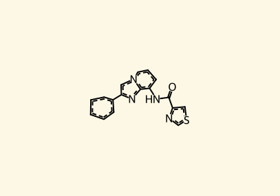 O=C(Nc1cccn2cc(-c3ccccc3)nc12)c1cscn1